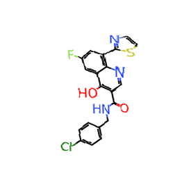 O=C(NCc1ccc(Cl)cc1)c1cnc2c(-c3nccs3)cc(F)cc2c1O